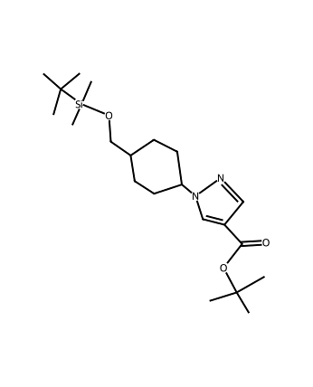 CC(C)(C)OC(=O)c1cnn(C2CCC(CO[Si](C)(C)C(C)(C)C)CC2)c1